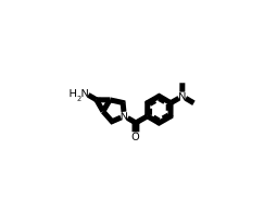 CN(C)c1ccc(C(=O)N2CC3C(N)C3C2)cc1